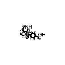 CC(O)c1ccc(S(=O)(=O)N2CCOC23CCNCC3)cc1